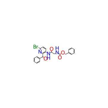 O=C(CNC(=O)OCc1ccccc1)Nc1ccc(Br)nc1C(=O)c1ccccc1